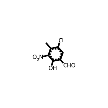 Cc1c(Cl)cc(C=O)c(O)c1[N+](=O)[O-]